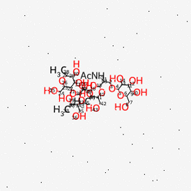 CC(=O)N[C@@H](COC1OC(CO)C(O)C(O)C1O)C(OC[C@H](O)C(OC1C(CO)OC(C)C(O)C1O)OC(CO)[C@@H](C)O)OC(CO)[C@@H](C)O